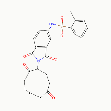 Cc1ccccc1S(=O)(=O)Nc1ccc2c(c1)C(=O)N(C1CCC(=O)CCCCC1=O)C2=O